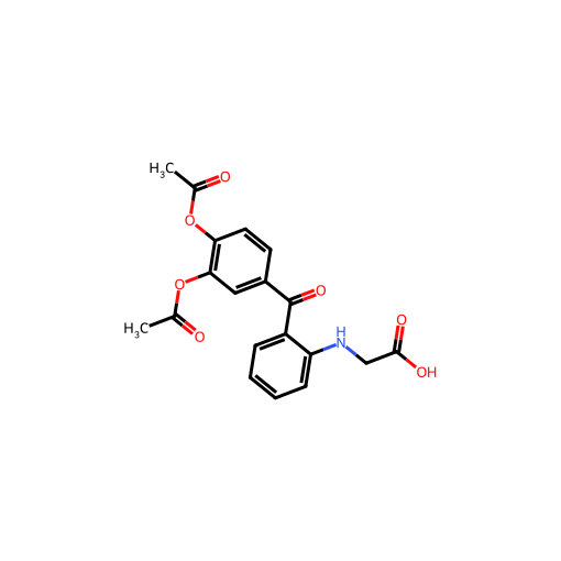 CC(=O)Oc1ccc(C(=O)c2ccccc2NCC(=O)O)cc1OC(C)=O